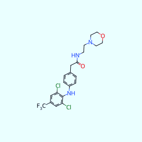 O=C(Cc1ccc(Nc2c(Cl)cc(C(F)(F)F)cc2Cl)cc1)NCCN1CCOCC1